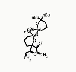 C=CC(=O)C1(C(=O)C=C)CC[CH2][Sn]([CH2]CCC)([O][Sn]2([CH2]CCC)[CH2]CCC(CCCC)(CCCC)[O]2)[O]1